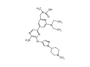 CCN(CC)c1cc(-c2cnc(N)c(Oc3cnn(C4CCN(C)CC4)c3)n2)cc(CN(C)C(=O)O)n1